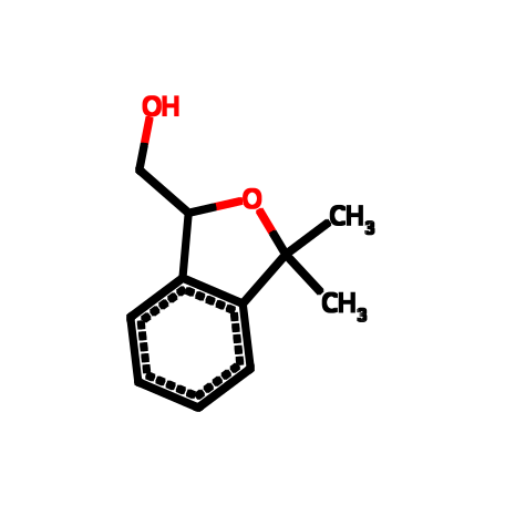 CC1(C)OC(CO)c2ccccc21